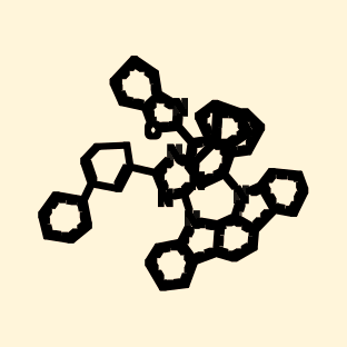 C1=C(c2ccccc2)C=C(c2nc(-c3ccccc3)nc(-n3c4ccccc4c4ccc5c6ccccc6n(-c6ccc(-c7nc8ccccc8o7)c7ccccc67)c5c43)n2)CC1